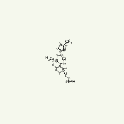 CNCCOc1ccc(CC(C)N2CCOC(c3csc(C(F)(F)F)n3)C2)cc1